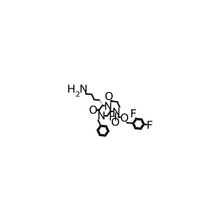 NCCCC[C@H]1C(=O)N(Cc2ccccc2)C[C@@H]2N(C(=O)OCc3ccc(F)cc3F)CCC(=O)N21